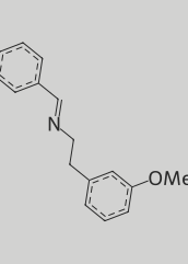 COc1cccc(CCN=Cc2ccccc2)c1